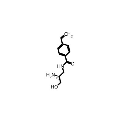 C=Cc1ccc(C(=O)NC[C@H](N)CO)cc1